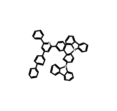 c1ccc(-c2ccc(-c3cc(-c4ccccc4)nc(-c4cccc(-c5cc(-n6c7ccccc7c7ccccc76)ccc5-n5c6ccccc6c6ccccc65)c4)c3)cc2)cc1